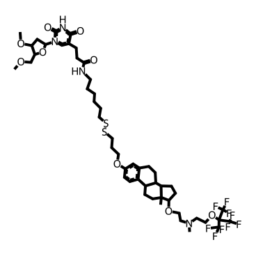 COCC1OC(n2cc(CCC(=O)NCCCCCCSSCCCOc3ccc4c(c3)CCC3C4CCC4(C)C(OCCN(C)CCOC(C(F)(F)F)(C(F)(F)F)C(F)(F)F)CCC34)c(=O)[nH]c2=O)CC1OC